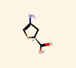 NC1=CS[C@H](C(=O)O)C1